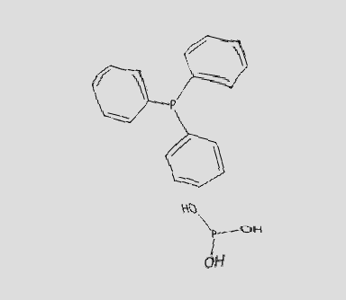 OP(O)O.c1ccc(P(c2ccccc2)c2ccccc2)cc1